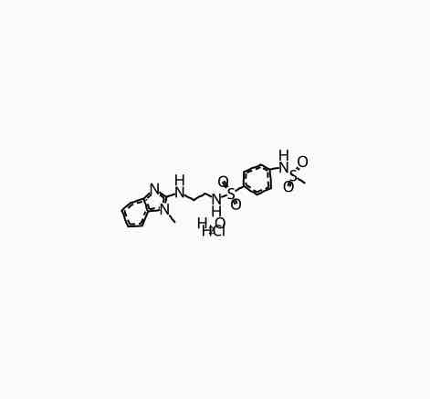 Cl.Cn1c(NCCNS(=O)(=O)c2ccc(NS(C)(=O)=O)cc2)nc2ccccc21.O